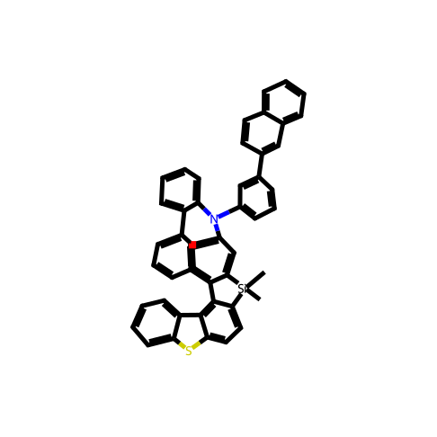 C[Si]1(C)c2cc(N(c3cccc(-c4ccc5ccccc5c4)c3)c3ccccc3-c3ccccc3)ccc2-c2c1ccc1sc3ccccc3c21